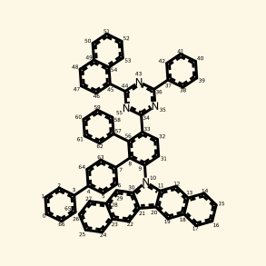 c1ccc(-c2ccc(-c3c(-n4c5cc6ccccc6cc5c5cc6ccccc6cc54)ccc(-c4nc(-c5ccccc5)nc(-c5cccc6ccccc56)n4)c3-c3ccccc3)cc2)cc1